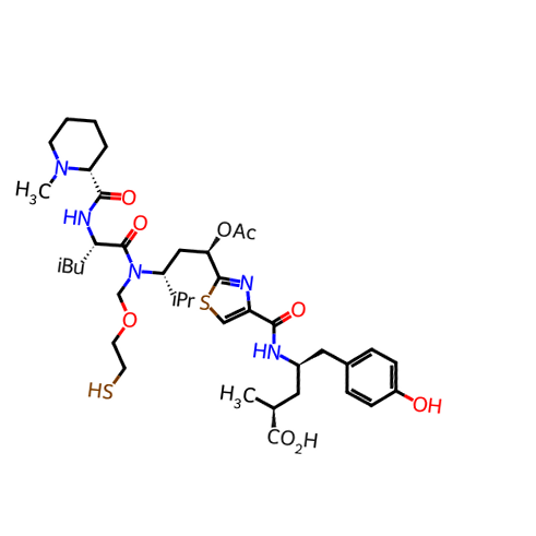 CCC(C)[C@H](NC(=O)[C@H]1CCCCN1C)C(=O)N(COCCS)[C@H](C[C@@H](OC(C)=O)c1nc(C(=O)N[C@@H](Cc2ccc(O)cc2)C[C@H](C)C(=O)O)cs1)C(C)C